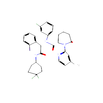 N#Cc1ccnc(N2C(=O)CCC[C@H]2C(=O)N(c2cccc(F)c2)[C@H](C(=O)NC2CCC(F)(F)CC2)c2ccccc2I)c1